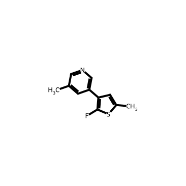 Cc1cncc(-c2cc(C)sc2F)c1